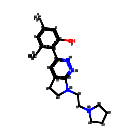 Cc1cc(C(F)(F)F)cc(O)c1-c1cc2c(nn1)N(CCN1CCCC1)CC2